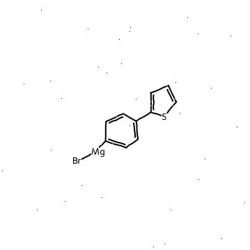 [Br][Mg][c]1ccc(-c2cccs2)cc1